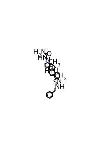 C[C@]12CCc3nc(NCCc4ccccc4)sc3C1=CC[C@@H]1[C@@H]2CC[C@]2(C)/C(=N/NC(N)=O)CC[C@@H]12